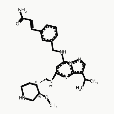 CO[C@H]1CNCC[C@@H]1CNc1cc(NCc2cccc(C=CC(N)=O)c2)n2ncc(C(C)C)c2n1